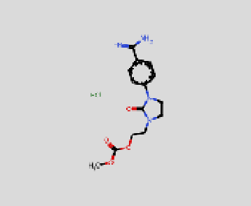 COC(=O)OCCN1CCN(c2ccc(C(=N)N)cc2)C1=O.Cl